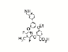 CCOc1ccc(C(=O)O)c(Oc2nc(Oc3cccc(-c4cccc(CN)c4)c3)c(F)c(C)c2F)c1